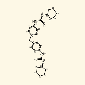 S=C(Nc1ccc(Cc2ccc(NC(=S)OC3CCCCC3)cc2)cc1)OC1CCCCC1